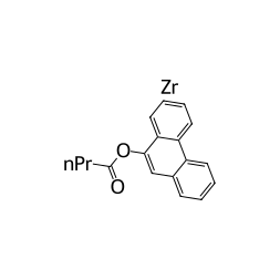 CCCC(=O)Oc1cc2ccccc2c2ccccc12.[Zr]